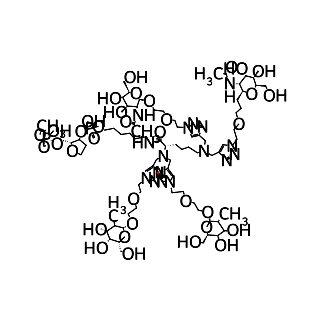 COP(=O)(O)OC[C@H]1OCC[C@H]1OP(=O)(O)OCCCCCCNC(=O)[C@H](CCCCN(Cc1cn(CCOCCC[C@@H]2O[C@H](CO)[C@H](O)[C@H](O)[C@H]2NC(C)=O)nn1)Cc1cn(CCOCCO[C@@H]2O[C@H](CO)[C@H](O)[C@H](O)[C@H]2NC(C)=O)nn1)N(Cc1cn(CCOCCO[C@@H]2O[C@H](CO)[C@H](O)[C@H](O)[C@H]2C)nn1)Cc1cn(CCOCCO[C@@H]2O[C@H](CO)[C@H](O)[C@H](O)[C@H]2C)nn1